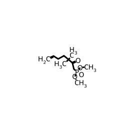 C=CCCC(C)(C)C(=O)CP(=O)(OC)OC